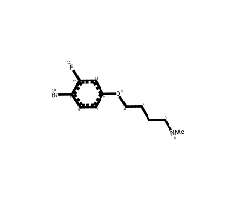 CNCCCCOc1ccc(Br)c(F)c1